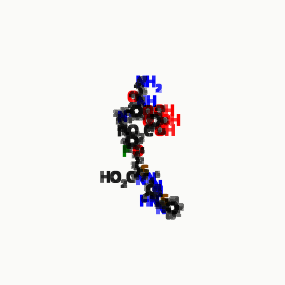 Cc1cc(N(C)c2nc(C(=O)O)c(CCCOc3ccc(C#CC[N+](C)(C)Cc4ccc(O[C@@H]5O[C@H](C(=O)O)[C@@H](O)[C@H](O)[C@H]5O)c(NC(=O)CCN)c4)cc3F)s2)nnc1Nc1nc2ccccc2s1